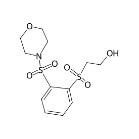 O=S(=O)(CCO)c1ccccc1S(=O)(=O)N1CCOCC1